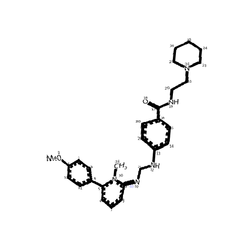 COc1ccc(-c2ccc/c(=N/CNc3ccc(C(=O)NCCN4CCCCC4)cc3)n2C)cc1